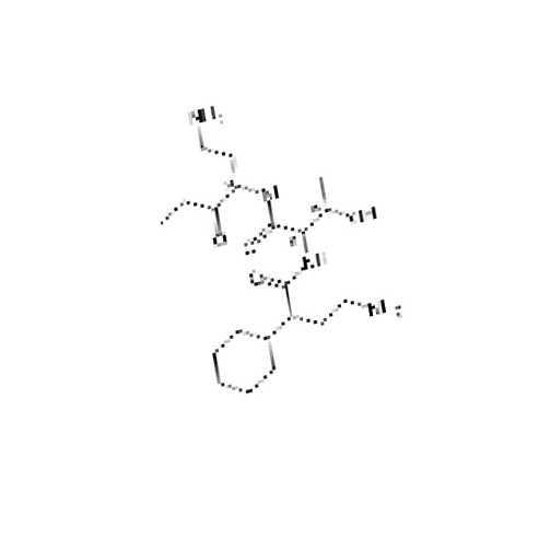 CCC(=O)[C@H](CCN)NC(=O)[C@@H](NC(=O)C(CCN)C1CCCCC1)[C@H](C)O